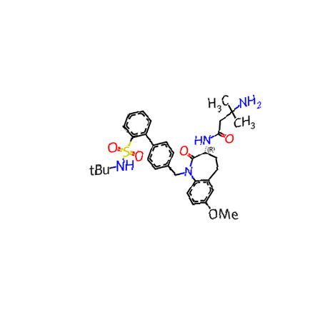 COc1ccc2c(c1)CC[C@@H](NC(=O)CC(C)(C)N)C(=O)N2Cc1ccc(-c2ccccc2S(=O)(=O)NC(C)(C)C)cc1